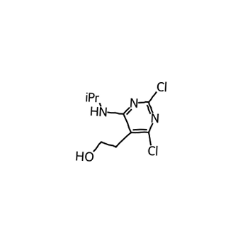 CC(C)Nc1nc(Cl)nc(Cl)c1CCO